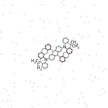 CC1(C)c2ccccc2N(c2ccc3c(-c4cccc5c4C4c6ccccc6C5C5CCCCC45)c4cc(N5c6ccccc6C(C)(C)c6ccccc65)ccc4c(-c4cccc5c4C4c6ccccc6C5c5ccccc54)c3c2)c2ccccc21